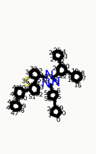 c1ccc(-c2ccc(-c3nc(-c4cc(-c5ccccc5)cc(-c5ccccc5)c4)nc(-c4cccc5sc6c(-c7cccc(-c8ccccc8)c7)cccc6c45)n3)cc2)cc1